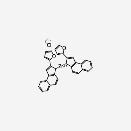 C1=C(c2ccco2)[CH]([Zr+2][CH]2C(c3ccco3)=Cc3c2ccc2ccccc32)c2ccc3ccccc3c21.[Cl-].[Cl-]